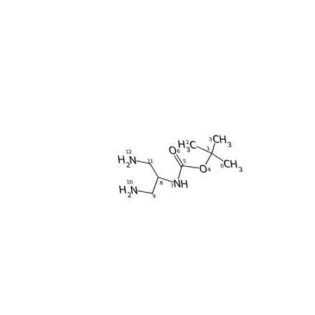 CC(C)(C)OC(=O)NC(CN)CN